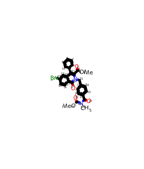 COC(=O)c1c(-c2ccccc2)c2cc(Br)ccc2c(=O)n1Cc1ccc(C(=O)N(C)C(=O)OC)cc1